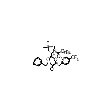 CN(C(=O)OC(C)(C)C)[C@@H](CC(C)(C)F)C(=O)O[C@H](Cc1ccc(C(F)(F)F)cn1)C(=O)OCc1ccccc1